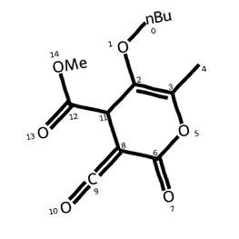 CCCCOC1=C(C)OC(=O)C(=C=O)C1C(=O)OC